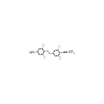 CCCc1cc(F)c(CCc2cc(F)c(C#CC(F)(F)F)c(F)c2)c(F)c1